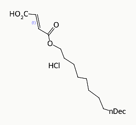 CCCCCCCCCCCCCCCCCCOC(=O)/C=C/C(=O)O.Cl